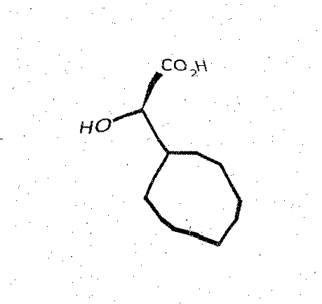 O=C(O)[C@H](O)C1CCCCC1